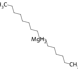 [CH2]CCCCCCCCCCCCCCC.[MgH2]